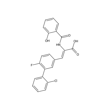 O=C(O)/C(=C/c1ccc(F)c(-c2ccccc2Cl)c1)NC(=O)c1ccccc1O